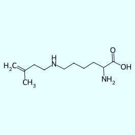 C=C(C)CCNCCCCC(N)C(=O)O